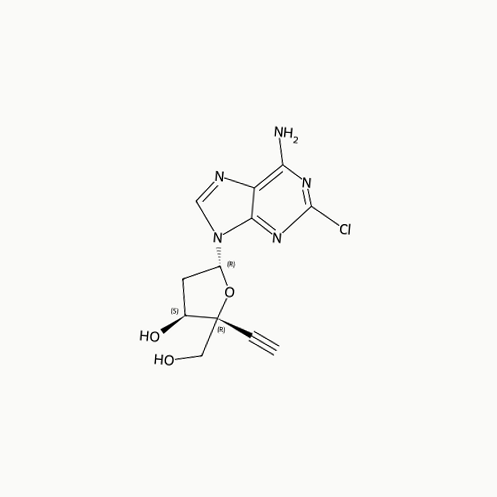 C#C[C@]1(CO)O[C@@H](n2cnc3c(N)nc(Cl)nc32)C[C@@H]1O